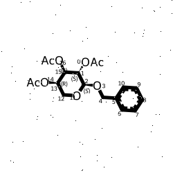 CC(=O)O[C@@H]1[C@@H](OCc2ccccc2)OC[C@@H](OC(C)=O)[C@H]1OC(C)=O